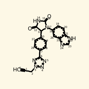 C#CCn1nnc(-c2ccc(C3C(=O)NC(=O)N3c3ccc4[nH]cnc4c3)cc2)n1